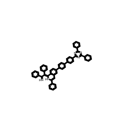 N=C(/C(=C1\NC(c2ccccc2)=Cc2cc(-c3ccc(-c4ccc(-c5nc(-c6ccccc6)nc(-c6ccccc6)n5)cc4)cc3)ccc21)c1ccccc1)c1ccccc1